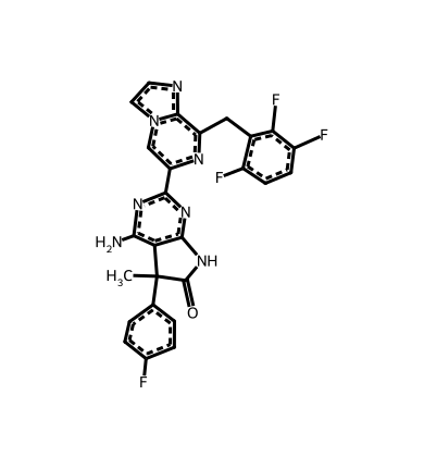 CC1(c2ccc(F)cc2)C(=O)Nc2nc(-c3cn4ccnc4c(Cc4c(F)ccc(F)c4F)n3)nc(N)c21